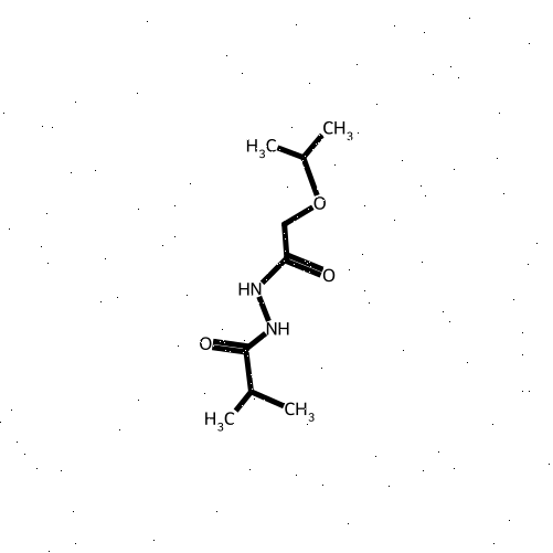 CC(C)OCC(=O)NNC(=O)C(C)C